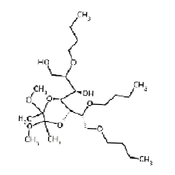 CCCCOC[C@@H](OCCCC)[C@@H]1OC(C)(OC)C(C)(OC)O[C@H]1[C@H](O)[C@@H](CO)OCCCC